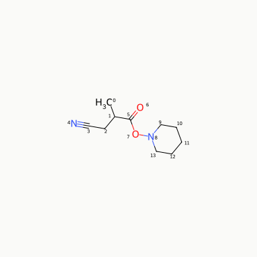 CC(CC#N)C(=O)ON1CCCCC1